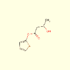 CC(O)CC(=O)Oc1cccs1